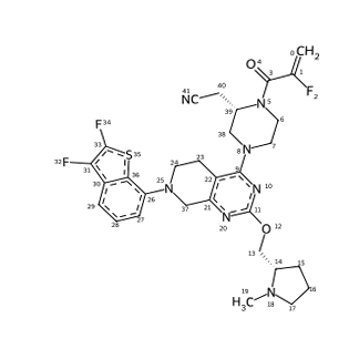 C=C(F)C(=O)N1CCN(c2nc(OC[C@@H]3CCCN3C)nc3c2CCN(c2cccc4c(F)c(F)sc24)C3)C[C@@H]1CC#N